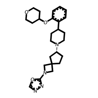 c1ccc(C2CCN([C@@H]3CCC4(C3)CN(c3nnco3)C4)CC2)c(OC2CCOCC2)c1